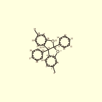 Cc1ccc2c(c1)OC1(c3ccccc3)Oc3cc(C)ccc3C21c1ccccc1